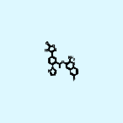 CC(Oc1cc2cc(F)ccc2nc1N)c1cc(-c2noc(=O)[nH]2)ccc1-n1cccn1